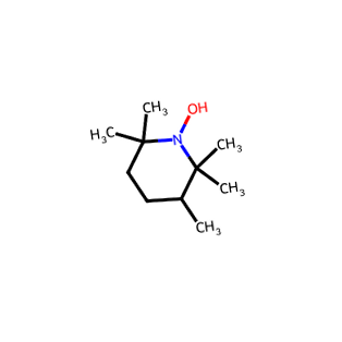 CC1CCC(C)(C)N(O)C1(C)C